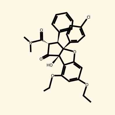 CCOc1cc(OCC)c2c(c1)O[C@@]1(c3ccc(Cl)cc3)[C@H](c3ccccc3)[C@@H](C(=O)N(C)C)C(=O)[C@@]21O